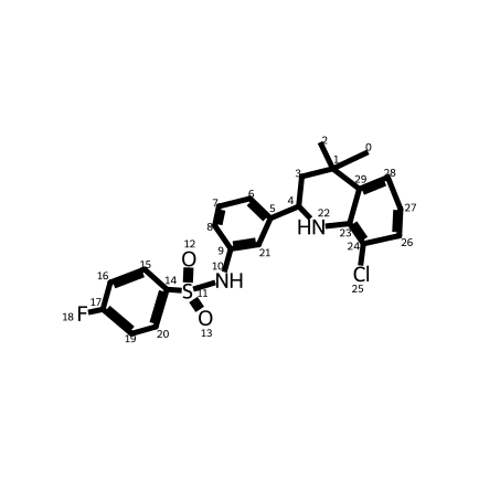 CC1(C)CC(c2cccc(NS(=O)(=O)c3ccc(F)cc3)c2)Nc2c(Cl)cccc21